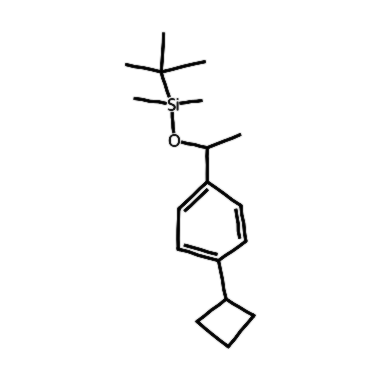 CC(O[Si](C)(C)C(C)(C)C)c1ccc(C2CCC2)cc1